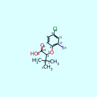 CC(C)(C)C(Oc1ccc(Cl)cc1I)C(=O)O